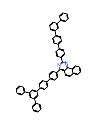 c1ccc(-c2cccc(-c3ccc(-c4ccc(-c5nc(-c6ccc(-c7ccc(-c8cc(-c9ccccc9)cc(-c9ccccc9)c8)cc7)cc6)c6ccc7ccccc7c6n5)cc4)cc3)c2)cc1